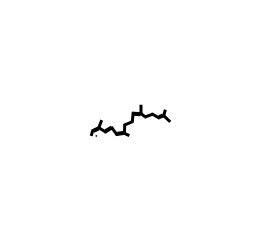 [CH2]C=C(C)C=CC=C(C)CCC=C(C)CCC=C(C)C